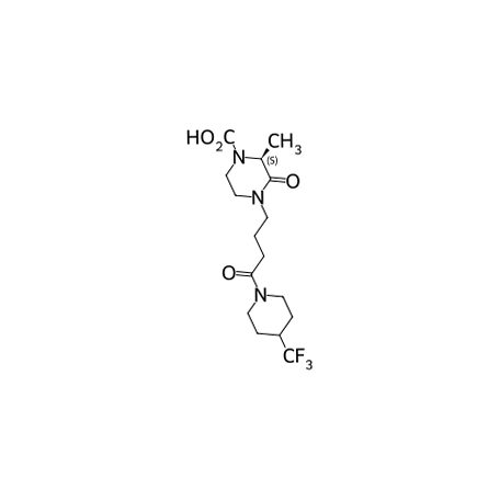 C[C@H]1C(=O)N(CCCC(=O)N2CCC(C(F)(F)F)CC2)CCN1C(=O)O